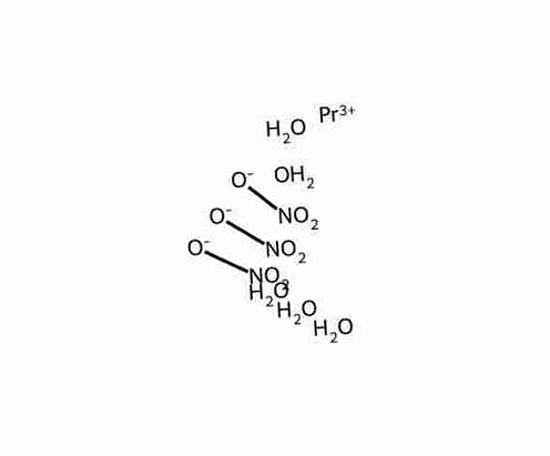 O.O.O.O.O.O=[N+]([O-])[O-].O=[N+]([O-])[O-].O=[N+]([O-])[O-].[Pr+3]